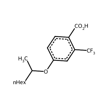 CCCCCCC(C)Oc1ccc(C(=O)O)c(C(F)(F)F)c1